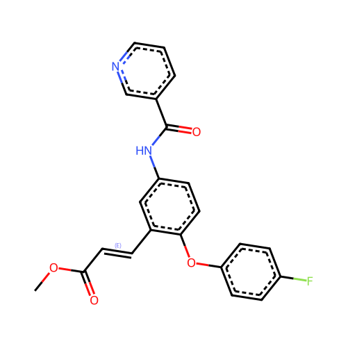 COC(=O)/C=C/c1cc(NC(=O)c2cccnc2)ccc1Oc1ccc(F)cc1